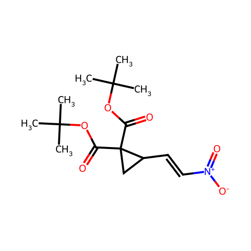 CC(C)(C)OC(=O)C1(C(=O)OC(C)(C)C)CC1/C=C/[N+](=O)[O-]